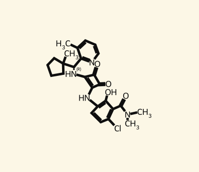 Cc1cccnc1[C@H](Nc1c(Nc2ccc(Cl)c(C(=O)N(C)C)c2O)c(=O)c1=O)C1(C)CCCC1